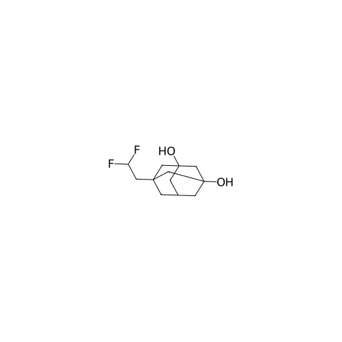 OC12CC3CC(O)(C1)CC(CC(F)F)(C3)C2